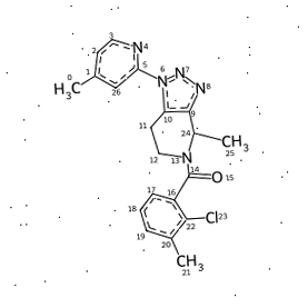 Cc1ccnc(-n2nnc3c2CCN(C(=O)c2cccc(C)c2Cl)C3C)c1